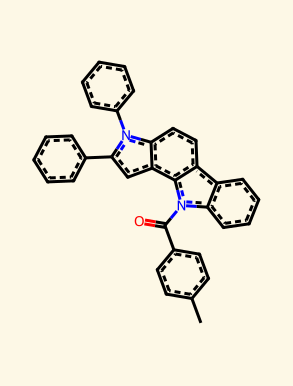 Cc1ccc(C(=O)n2c3ccccc3c3ccc4c(cc(-c5ccccc5)n4-c4ccccc4)c32)cc1